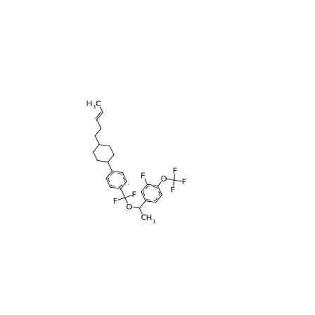 C/C=C/CCC1CCC(c2ccc(C(F)(F)OC(C)c3ccc(OC(F)(F)F)c(F)c3)cc2)CC1